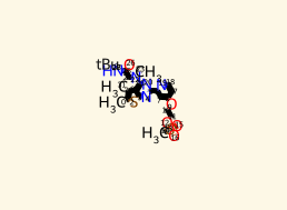 Cc1sc2nc(-c3cc(OCCOS(C)(=O)=O)ccn3)nc(N(C)CC(=O)NC(C)(C)C)c2c1C